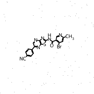 Cc1cc(Br)c(C(=O)Nc2nc3ncc(-c4ccc(C#N)cc4)nc3s2)cn1